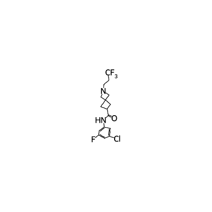 O=C(Nc1cc(F)cc(Cl)c1)C1CC2(C1)CN(CCC(F)(F)F)C2